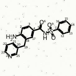 Nc1ccc(C(=O)NS(=O)(=O)c2ccccc2)cc1Cc1cccnc1